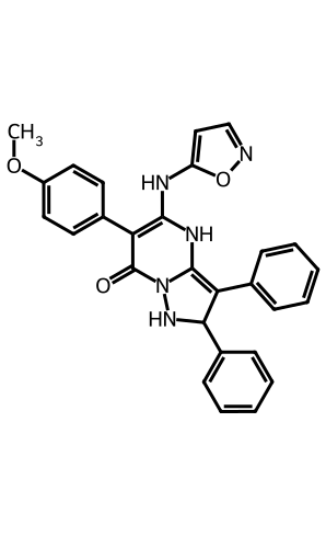 COc1ccc(C2=C(Nc3ccno3)NC3=C(c4ccccc4)C(c4ccccc4)NN3C2=O)cc1